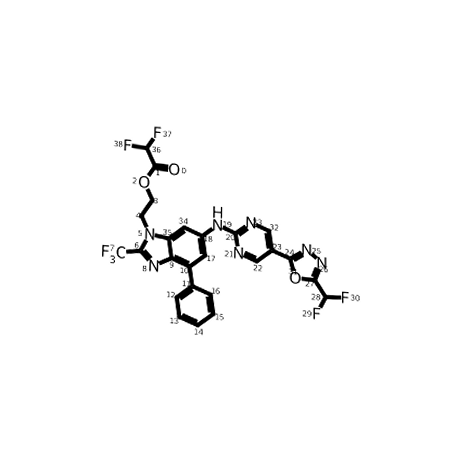 O=C(OCCn1c(C(F)(F)F)nc2c(-c3ccccc3)cc(Nc3ncc(-c4nnc(C(F)F)o4)cn3)cc21)C(F)F